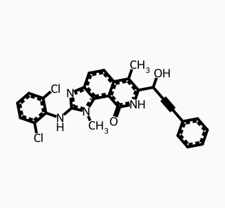 Cc1c(C(O)C#Cc2ccccc2)[nH]c(=O)c2c1ccc1nc(Nc3c(Cl)cccc3Cl)n(C)c12